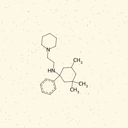 CC1CC(C)(C)CC(NCCN2CCCCC2)(c2ccccc2)C1